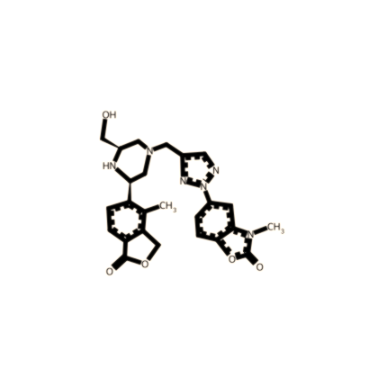 Cc1c([C@@H]2CN(Cc3cnn(-c4ccc5oc(=O)n(C)c5c4)n3)C[C@H](CO)N2)ccc2c1COC2=O